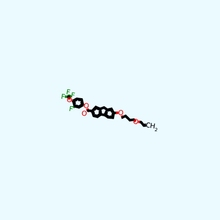 C=CCOCCCCOc1ccc2c(c1)Cc1cc(C(=O)Oc3ccc(OC(F)(F)F)c(F)c3)ccc1-2